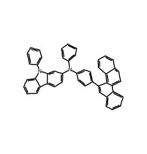 c1ccc(N(c2ccc(-c3cc4ccccc4c4ccc5ccccc5c34)cc2)c2ccc3c4ccccc4n(-c4ccccc4)c3c2)cc1